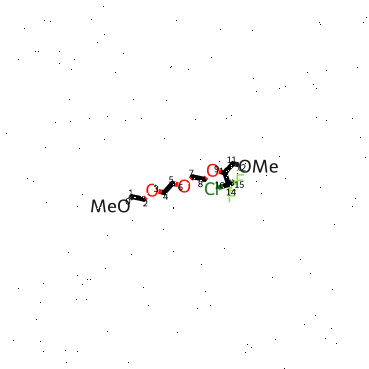 COCCOCCOCCOC(COC)C(F)(F)Cl